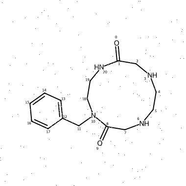 O=C1CNCCNCC(=O)N(Cc2ccccc2)CCN1